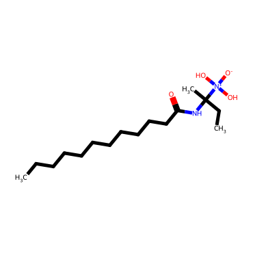 CCCCCCCCCCCC(=O)NC(C)(CC)[N+]([O-])(O)O